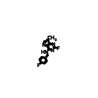 Cn1cnc2c(NCc3ccc(F)cc3)nc(F)nc21